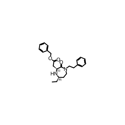 CC[C@@H]1CCN(CCc2ccccc2)C(=O)[C@H](CC(=O)OCc2ccccc2)N1